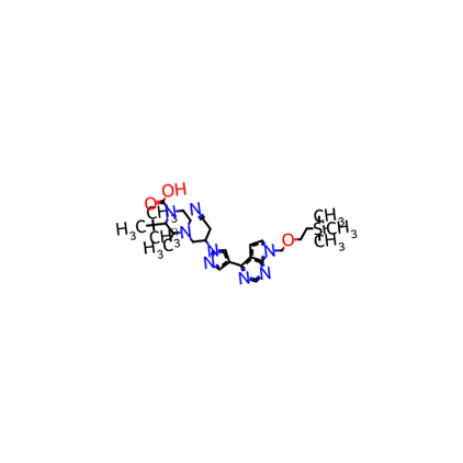 C[C@H]1C(C(C)(C)C)N(C(=O)O)CCN1CC(CC#N)n1cc(-c2ncnc3c2ccn3COCC[Si](C)(C)C)cn1